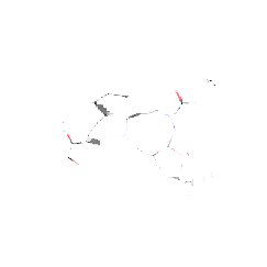 COC(=O)C(=O)c1cn2c3c(cccc13)CN(C(=O)OC(C)(C)C)CC1OC(C)(C)OC1C2